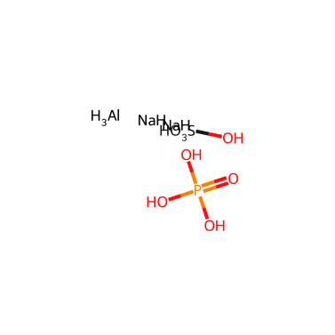 O=P(O)(O)O.O=S(=O)(O)O.[AlH3].[NaH].[NaH]